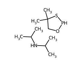 CC(C)NC(C)C.CC1(C)COPS1